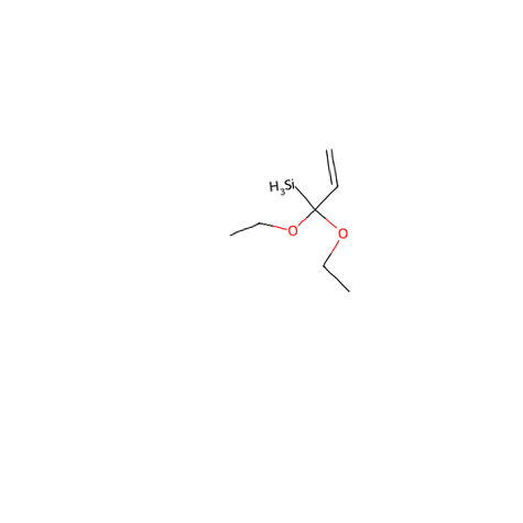 C=CC([SiH3])(OCC)OCC